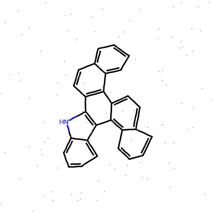 c1ccc2c(c1)ccc1c3[nH]c4ccccc4c3c3c4ccccc4ccc3c21